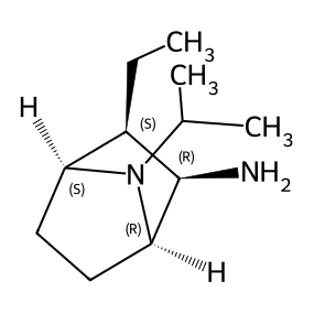 CC[C@H]1[C@@H](N)[C@H]2CC[C@@H]1N2C(C)C